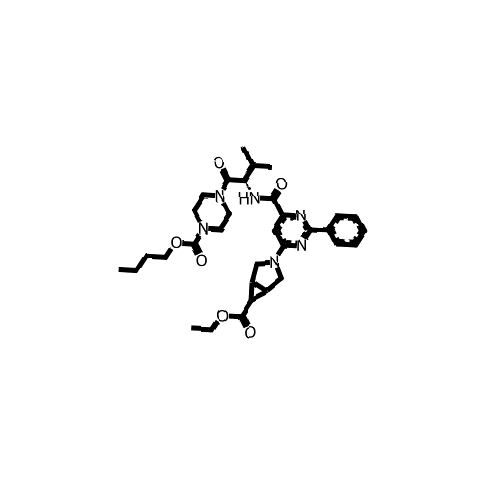 CCCCOC(=O)N1CCN(C(=O)[C@@H](NC(=O)c2cc(N3CC4C(C3)C4C(=O)OCC)nc(-c3ccccc3)n2)C(C)C)CC1